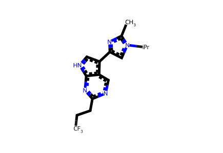 Cc1nc(-c2c[nH]c3nc(CCC(F)(F)F)ncc23)cn1C(C)C